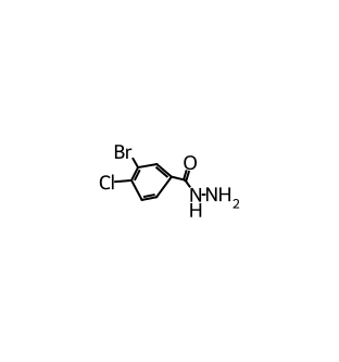 NNC(=O)c1ccc(Cl)c(Br)c1